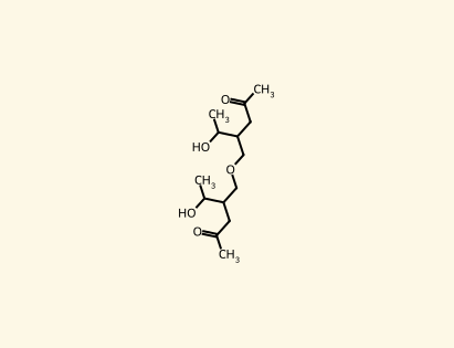 CC(=O)CC(COCC(CC(C)=O)C(C)O)C(C)O